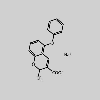 O=C([O-])C1=Cc2c(Oc3ccccc3)cccc2OC1C(F)(F)F.[Na+]